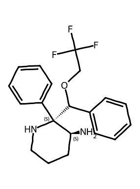 N[C@H]1CCCN[C@]1(c1ccccc1)C(OCC(F)(F)F)c1ccccc1